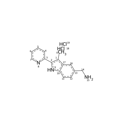 Cc1c(-c2ccccn2)[nH]c2ccc(CN)cc12.Cl.Cl